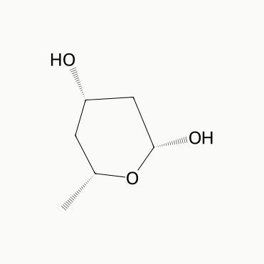 C[C@@H]1C[C@H](O)C[C@H](O)O1